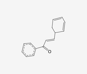 O=C(/C=C/C1C=CC=CC1)c1ccccc1